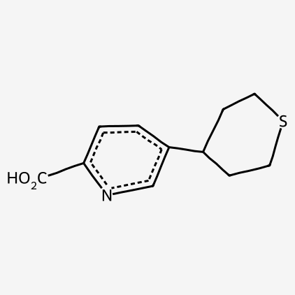 O=C(O)c1ccc(C2CCSCC2)cn1